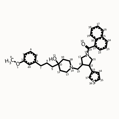 COc1cccc(CCCC2(O)CCN(CC3CN(C(=O)c4cccc5ccccc45)CC3c3ccsc3)CC2)c1